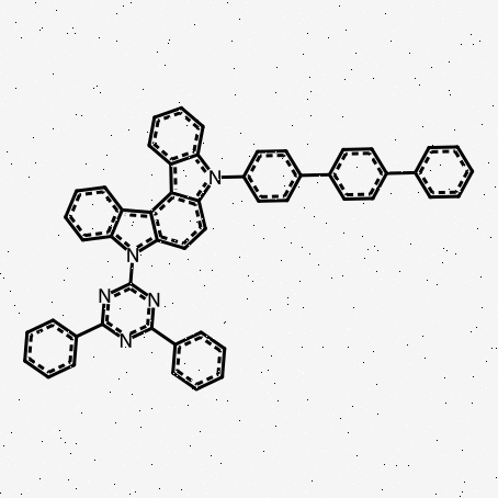 c1ccc(-c2ccc(-c3ccc(-n4c5ccccc5c5c6c7ccccc7n(-c7nc(-c8ccccc8)nc(-c8ccccc8)n7)c6ccc54)cc3)cc2)cc1